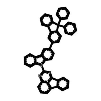 c1ccc(C2(c3ccccc3)c3ccccc3-c3cc(-c4ccc5c(c4)c4ccccc4n5-c4nc5c6c(cccc6n4)-c4ccccc4-5)ccc32)cc1